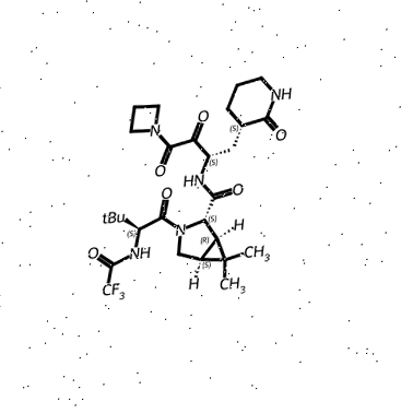 CC(C)(C)[C@H](NC(=O)C(F)(F)F)C(=O)N1C[C@H]2[C@@H]([C@H]1C(=O)N[C@@H](C[C@@H]1CCCNC1=O)C(=O)C(=O)N1CCC1)C2(C)C